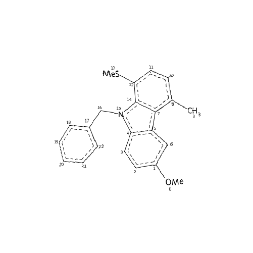 COc1ccc2c(c1)c1c(C)c[c]c(SC)c1n2Cc1ccccc1